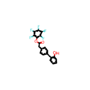 O=C(Cc1ccc(-c2ccccc2O)cc1)Oc1c(F)c(F)c(F)c(F)c1F